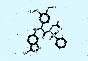 CCOc1cc(C(Nc2ccc3c(N)n[nH]c3c2)C(=O)N(OC(=O)C(F)(F)F)S(=O)(=O)c2ccccc2)ccc1OC(C)C